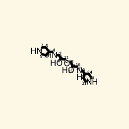 O[C@@H](CNCC1CCNCC1)COC[C@@H](O)CNCC1CCNCC1